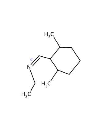 CC/N=C\C1C(C)CCCC1C